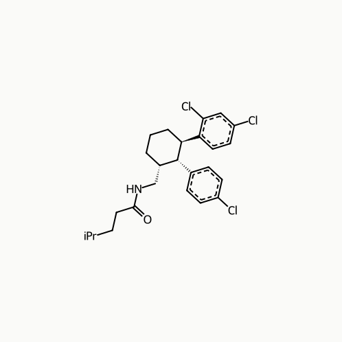 CC(C)CCC(=O)NC[C@@H]1CCC[C@@H](c2ccc(Cl)cc2Cl)[C@@H]1c1ccc(Cl)cc1